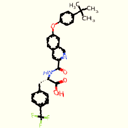 CC(C)(C)c1ccc(Oc2ccc3cc(C(=O)N[C@@H](Cc4ccc(C(F)(F)F)cc4)C(=O)O)ncc3c2)cc1